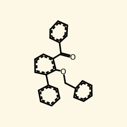 O=C(c1ccccc1)c1cccc(-c2ccccc2)c1OCc1ccccc1